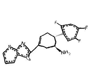 N[C@H]1CC(c2nc3ncccc3o2)=CC[C@@H]1c1cc(F)c(F)cc1F